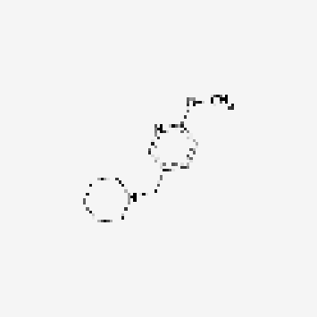 COc1ccc(CN2CCCCC2)cn1